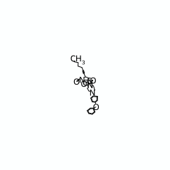 CCCCCC#CC(CS(=O)(=O)N1CCN(c2ccc(Oc3ccccc3)cc2)CC1)N(O)C=O